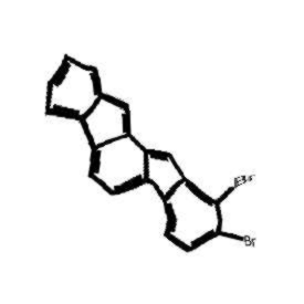 Brc1ccc2c(c1Br)C=c1c-2ccc2c1=Cc1ccccc1-2